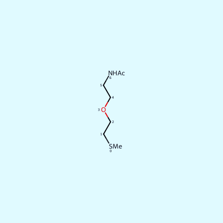 CSCCOCCNC(C)=O